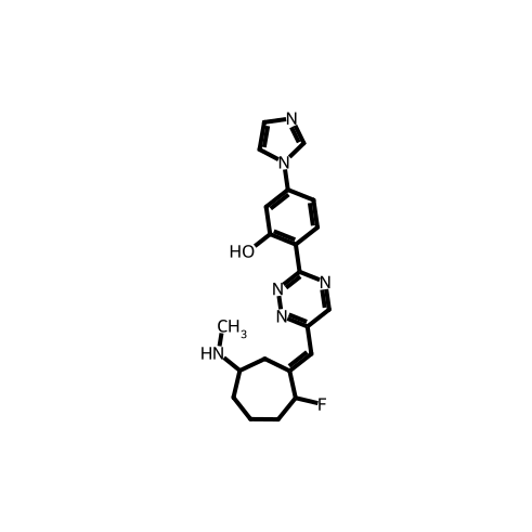 CNC1CCCC(F)/C(=C/c2cnc(-c3ccc(-n4ccnc4)cc3O)nn2)C1